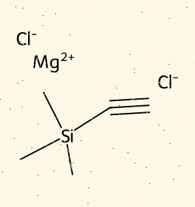 C#C[Si](C)(C)C.[Cl-].[Cl-].[Mg+2]